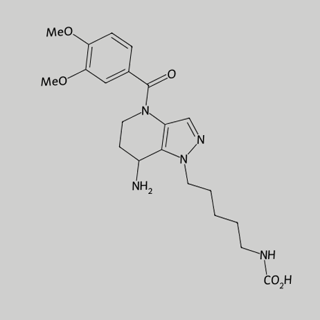 COc1ccc(C(=O)N2CCC(N)c3c2cnn3CCCCCNC(=O)O)cc1OC